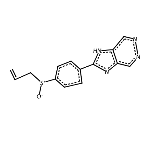 C=CC[S+]([O-])c1ccc(-c2nc3cnncc3[nH]2)cc1